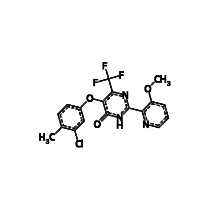 COc1cccnc1-c1nc(C(F)(F)F)c(Oc2ccc(C)c(Cl)c2)c(=O)[nH]1